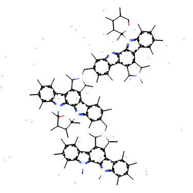 Cc1c(CN2C(C)c3c(c4c5c(C)c(C)c(CN6C(C)c7c(c8c9c(C)c(C)c(C)c(C)c9n(C)c8c8c7c7c(C)c(C)c(C)c(C)c7n8C)C6C)c(C)c5n5c4c4c3c3c(C)c(C)c(C)c(C)c3n4C3(C)OC5(C)C(C)C3C)C2C)c(C)c2[nH]c3c(c4c(c5c6c(C)c(C)c(C)c(C)c6n(C6(C)OCC(C)C(C)C6C)c35)C(C)N(C)C4C)c2c1C